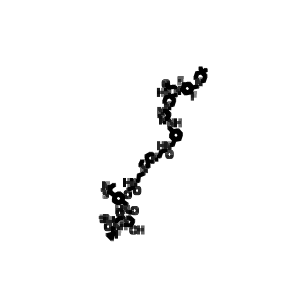 Cc1ncsc1-c1ccc(CNC(=O)[C@@H]2C[C@@H](O)CN2C(=O)[C@@H](NC(=O)C2(F)CC2)C(C)(C)C)c(OCC(=O)NCCCN2CC[C@@]3(CCN(CCC(=O)NCc4cccc(CNc5cc(N6CCC7(CC6)CN(c6cc(F)c(CN8CCC(C)(C)CC8)cc6F)CC(=O)N7)ncn5)c4)C3)C2)c1